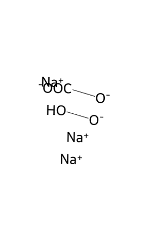 O=C([O-])[O-].[Na+].[Na+].[Na+].[O-]O